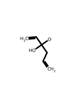 C=CCC([O])(O)C=C